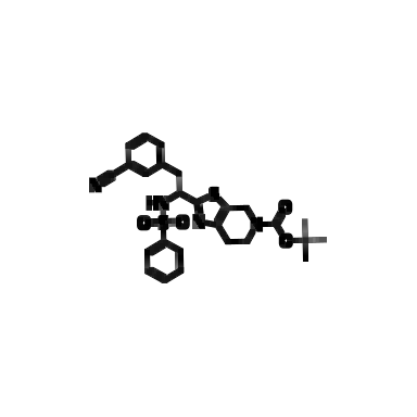 CC(C)(C)OC(=O)N1CCc2nc(C(Cc3cccc(C#N)c3)NS(=O)(=O)c3ccccc3)sc2C1